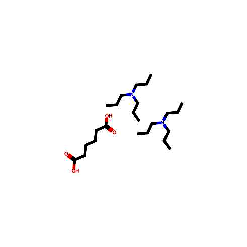 CCCN(CCC)CCC.CCCN(CCC)CCC.O=C(O)CCCCC(=O)O